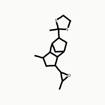 CC1CC(C2OC2C)C2C3CC(C12)C(C1(C)SCCS1)C3